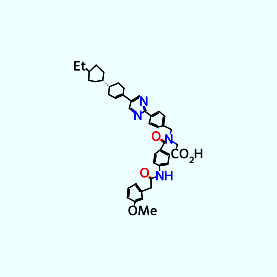 CC[C@H]1CC[C@H](C2CC=C(c3cnc(-c4ccc(CN(CC(=O)O)C(=O)c5ccc(NC(=O)Cc6cccc(OC)c6)cc5)cc4)nc3)CC2)CC1